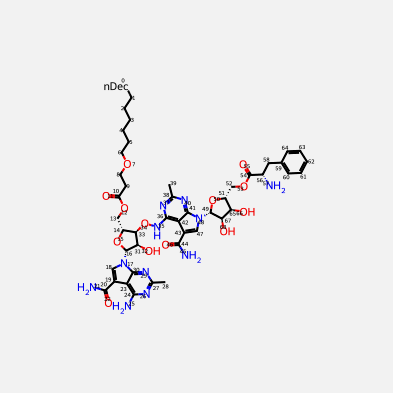 CCCCCCCCCCCCCCCCOCCC(=O)OC[C@H]1O[C@@H](n2cc(C(N)=O)c3c(N)nc(C)nc32)[C@H](O)[C@@H]1ONc1nc(C)nc2c1c(C(N)=O)cn2[C@@H]1O[C@H](COC(=O)[C@@H](N)Cc2ccccc2)[C@@H](O)[C@H]1O